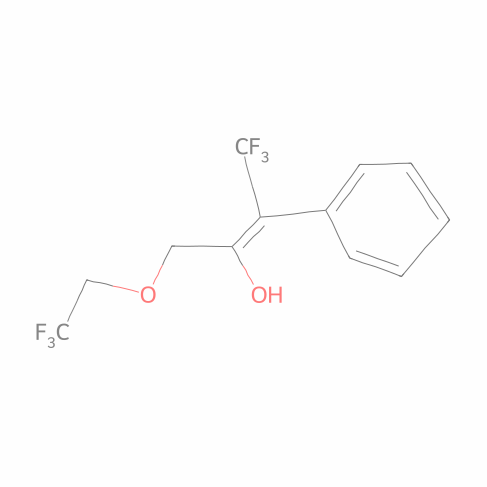 OC(COCC(F)(F)F)=C(c1ccccc1)C(F)(F)F